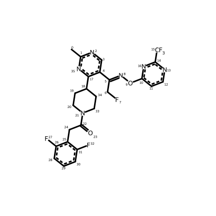 Cc1ncc(/C(CF)=N/Oc2ccnc(C(F)(F)F)n2)c(C2CCN(C(=O)Cc3c(F)cccc3F)CC2)n1